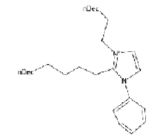 CCCCCCCCCCCCCCc1n(-c2ccccc2)cc[n+]1CCCCCCCCCCCC